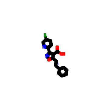 O=C(O)c1c(-c2ccc(F)cn2)noc1/C=C/c1ccccc1